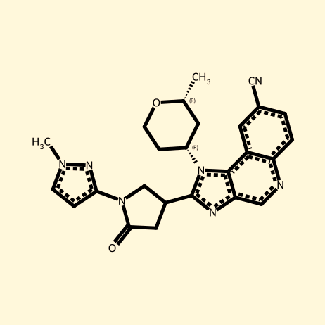 C[C@@H]1C[C@H](n2c(C3CC(=O)N(c4ccn(C)n4)C3)nc3cnc4ccc(C#N)cc4c32)CCO1